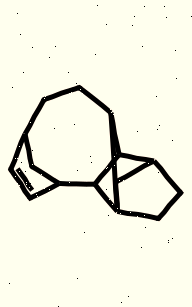 C1=CC2CC1CCC1C3C4CCC1(C4)C23